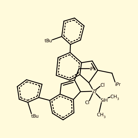 CC(C)CC1=Cc2c(-c3ccccc3C(C)(C)C)cccc2[CH]1[Zr]([Cl])([Cl])([CH]1C(CC(C)C)=Cc2c(-c3ccccc3C(C)(C)C)cccc21)[SiH](C)C